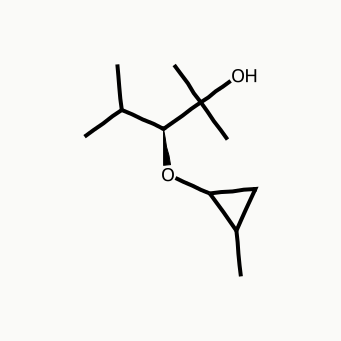 CC1CC1O[C@@H](C(C)C)C(C)(C)O